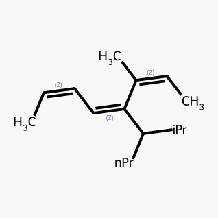 C\C=C/C=C(\C(C)=C/C)C(CCC)C(C)C